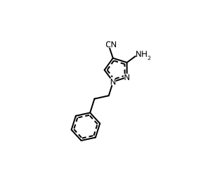 N#Cc1cn(CCc2ccccc2)nc1N